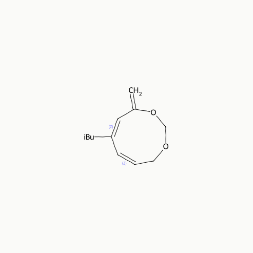 C=C1/C=C(C(C)CC)\C=C/COCO1